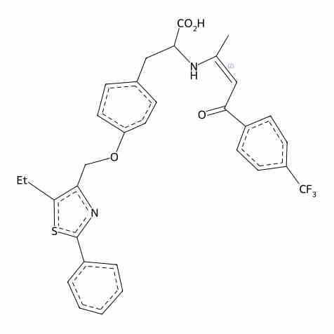 CCc1sc(-c2ccccc2)nc1COc1ccc(CC(N/C(C)=C\C(=O)c2ccc(C(F)(F)F)cc2)C(=O)O)cc1